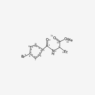 CCC(NC(=O)c1ccc(Br)cc1)C(=O)OC